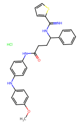 COc1ccc(Nc2ccc(NC(=O)CCC(NC(=N)c3cccs3)c3ccccc3)cc2)cc1.Cl